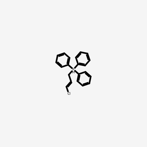 ClC=CC[PH](c1ccccc1)(c1ccccc1)c1ccccc1